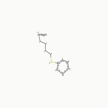 CCCCCCCCCCCSc1ccccc1